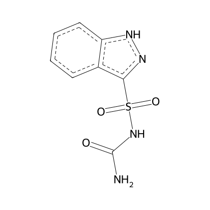 NC(=O)NS(=O)(=O)c1n[nH]c2ccccc12